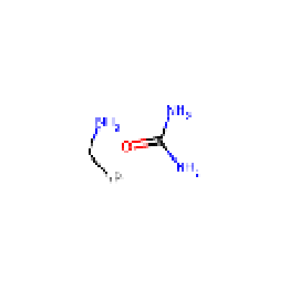 CCCCN.NC(N)=O